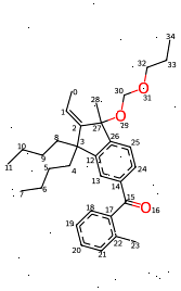 C/C=C1/C(CCCC)(CCCC)c2cc(C(=O)c3ccccc3C)ccc2C1(C)OCOCCC